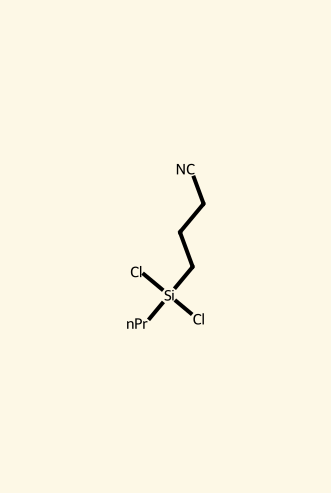 CCC[Si](Cl)(Cl)CCCC#N